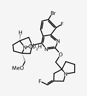 COC[C@@]12CC[C@@H](CN(c3nc(OCC45CCCN4C/C(=C/F)C5)nc4c(F)c(Br)ccc34)C1)N2C(=O)O